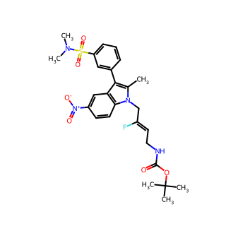 Cc1c(-c2cccc(S(=O)(=O)N(C)C)c2)c2cc([N+](=O)[O-])ccc2n1C/C(F)=C/CNC(=O)OC(C)(C)C